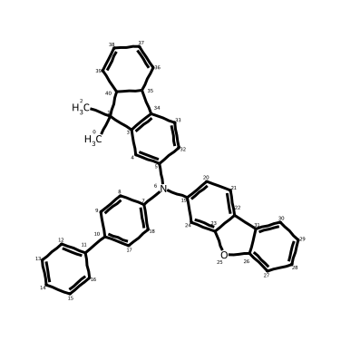 CC1(C)c2cc(N(c3ccc(-c4ccccc4)cc3)c3ccc4c(c3)oc3ccccc34)ccc2C2C=CC=CC21